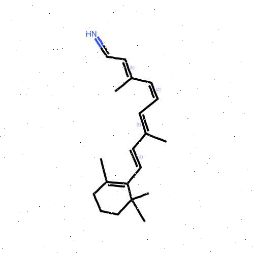 CC1=C(/C=C/C(C)=C/C=C\C(C)=C\C=N)C(C)(C)CCC1